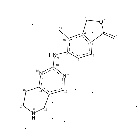 C=C1OCc2c1ccc(Nc1ncc3c(n1)CCNC3)c2C